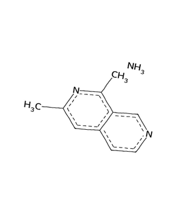 Cc1cc2ccncc2c(C)n1.N